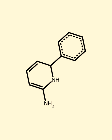 NC1=CC=CC(c2ccccc2)N1